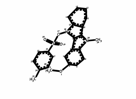 COc1ccc2c(c1)c1c(c3ccccc3n1OS(=O)(=O)c1ccc(C)cc1)n2C